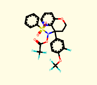 O=C(ON(C1(c2ccc(OC(F)(F)F)c(F)c2)CCOc2cccnc21)S(=O)(=O)c1ccccc1)C(F)(F)F